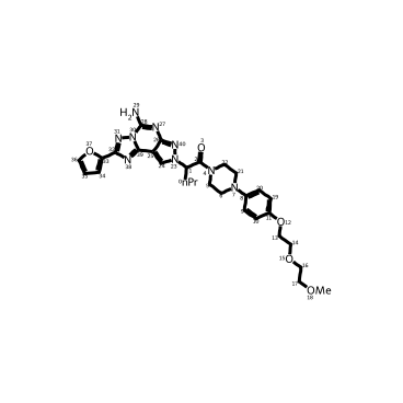 CCCC(C(=O)N1CCN(c2ccc(OCCOCCOC)cc2)CC1)n1cc2c(nc(N)n3nc(-c4ccco4)nc23)n1